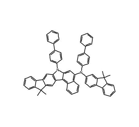 CC1(C)c2ccccc2-c2ccc(N(c3ccc(-c4ccccc4)cc3)c3cc4c(c5ccccc35)c3cc5c(cc3n4-c3ccc(-c4ccccc4)cc3)-c3ccccc3C5(C)C)cc21